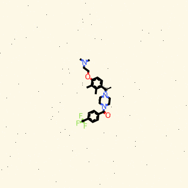 Cc1c(OCCN(C)C)ccc([C@@H](C)N2CCN(C(=O)c3ccc(C(F)(F)F)cc3)CC2)c1C